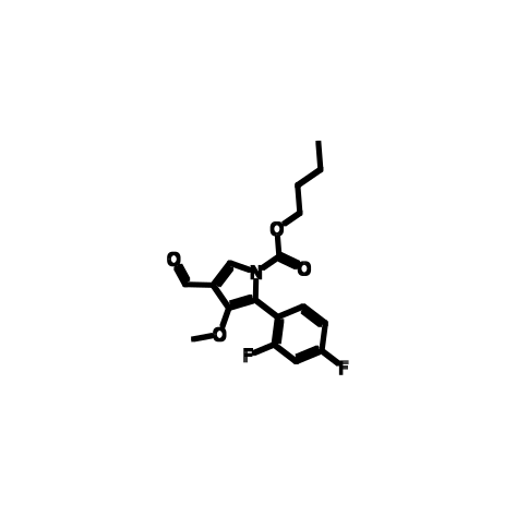 CCCCOC(=O)n1cc(C=O)c(OC)c1-c1ccc(F)cc1F